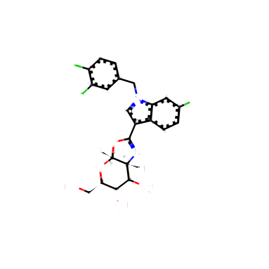 OC[C@H]1O[C@@H]2OC(c3cn(Cc4ccc(Cl)c(Cl)c4)c4cc(Cl)ccc34)=N[C@@H]2C(O)[C@@H]1O